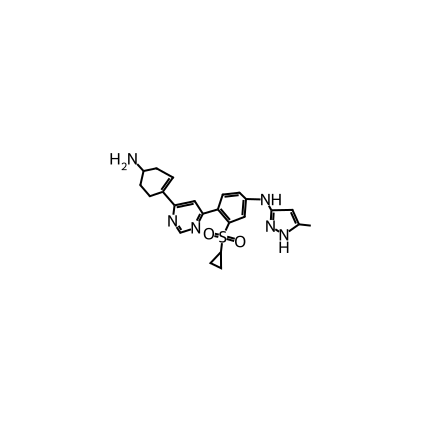 Cc1cc(Nc2ccc(-c3cc(C4=CCC(N)CC4)ncn3)c(S(=O)(=O)C3CC3)c2)n[nH]1